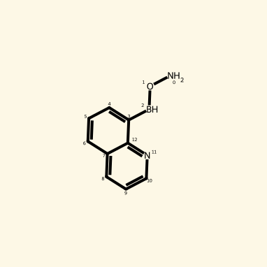 NOBc1cccc2cccnc12